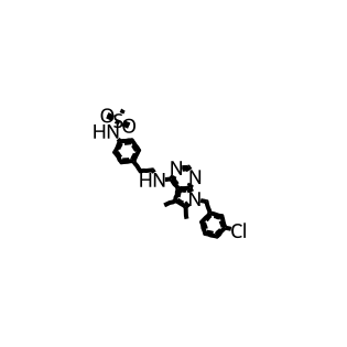 Cc1c(C)n(Cc2cccc(Cl)c2)c2ncnc(NCCc3ccc(NS(C)(=O)=O)cc3)c12